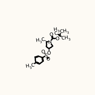 Cc1ccc(S(=O)(=O)O[C@H]2C[C@H](C)N(C(=O)OC(C)(C)C)C2)cc1